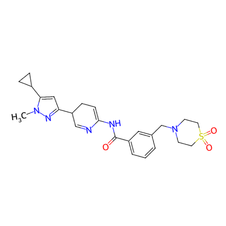 Cn1nc(C2C=NC(NC(=O)c3cccc(CN4CCS(=O)(=O)CC4)c3)=CC2)cc1C1CC1